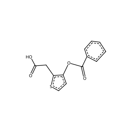 O=C(O)Cc1sccc1OC(=O)c1ccccc1